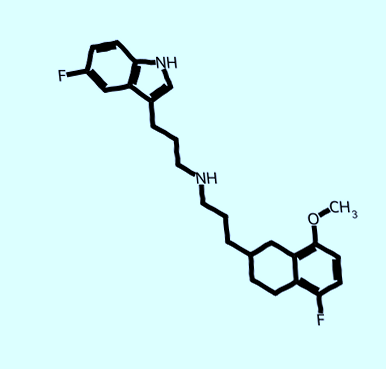 COc1ccc(F)c2c1CC(CCCNCCCc1c[nH]c3ccc(F)cc13)CC2